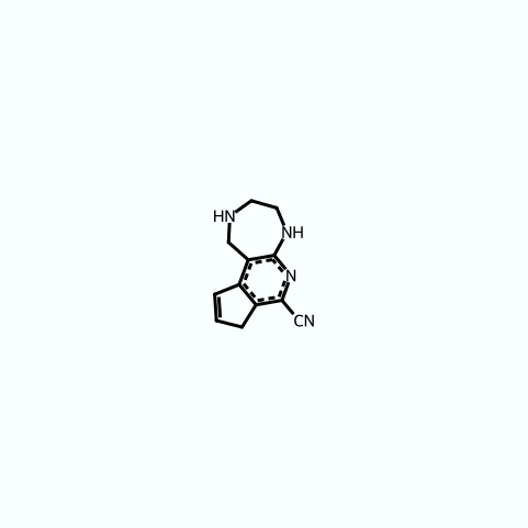 N#Cc1nc2c(c3c1CC=C3)CNCCN2